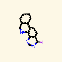 Ic1ncnc2c1ccc1c3ccccc3cnc12